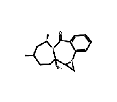 C[C@@H]1CC[C@@]2(N)C3CN3c3ccccc3C(=O)N2[C@H](C)C1